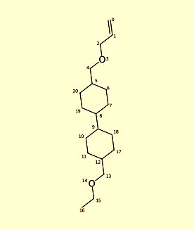 C=CCOCC1CCC(C2CCC(COCC)CC2)CC1